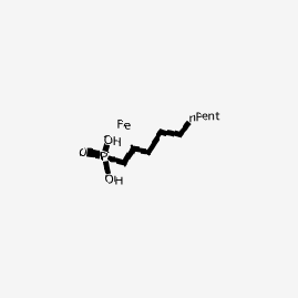 CCCCCCCCCCP(=O)(O)O.[Fe]